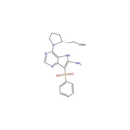 COCC[C@H]1CCCN1c1ncnc2c(S(=O)(=O)c3ccccc3)c(N)[nH]c12